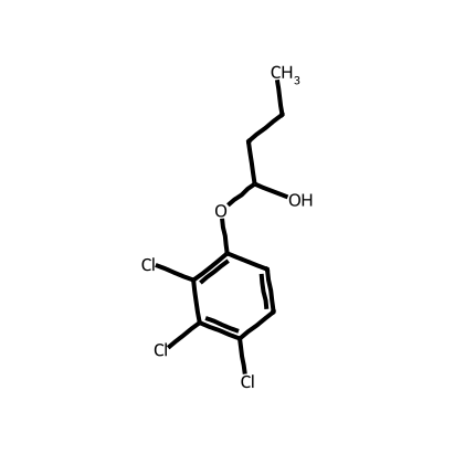 CCCC(O)Oc1ccc(Cl)c(Cl)c1Cl